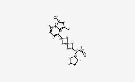 Cc1cc(Cl)n2ncnc(N3CC4(CC(N([SH]=O)C5CCCC5)C4)C3)c12